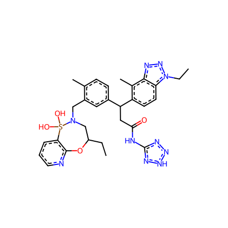 CCC1CN(Cc2cc(C(CC(=O)Nc3nn[nH]n3)c3ccc4c(nnn4CC)c3C)ccc2C)S(O)(O)c2cccnc2O1